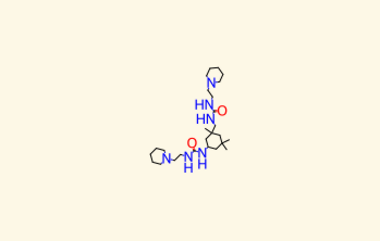 CC1(C)CC(NC(=O)NCCN2CCCCC2)CC(C)(CNC(=O)NCCN2CCCCC2)C1